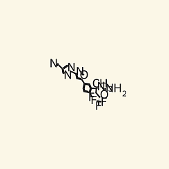 C[C@@]1(c2cc(-c3cc(-c4ncc(C#N)cn4)no3)ccc2F)C[C@@H](C(F)(F)F)OC(N)=N1